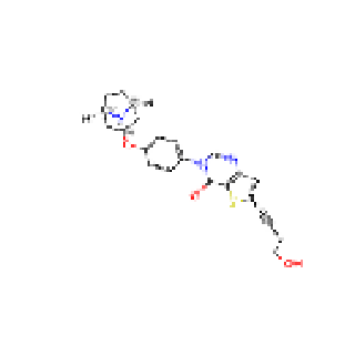 CN1[C@@H]2CC[C@H]1C[C@@H](Oc1ccc(-n3cnc4cc(C#CCCO)sc4c3=O)cc1)C2